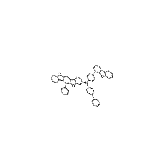 c1ccc(-c2ccc(N(c3ccc(-c4cccc5c4sc4ccccc45)cc3)c3ccc4c(c3)oc3c(-c5ccccc5)c5c(cc34)oc3ccccc35)cc2)cc1